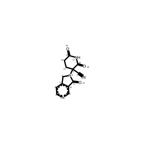 N#CC1(N2Cc3ccncc3C2=O)CCC(=O)NC1=O